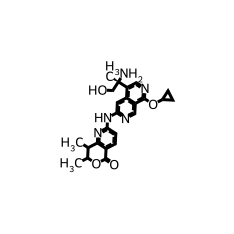 CC1OC(=O)c2ccc(Nc3cc4c([C@@](C)(N)CO)cnc(OC5CC5)c4cn3)nc2C1C